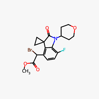 COC(=O)C(Br)c1ccc(F)c2c1C1(CC1)C(=O)N2C1CCOCC1